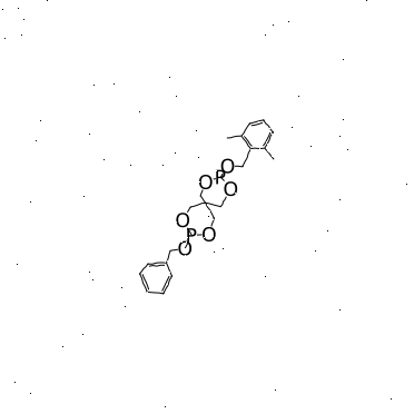 Cc1cccc(C)c1COP1OCC2(COP(OCc3ccccc3)OC2)CO1